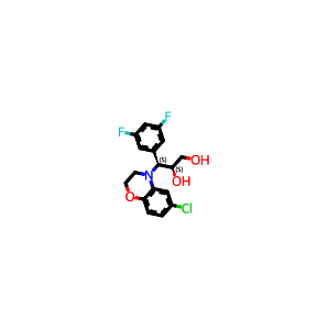 OC[C@@H](O)[C@H](c1cc(F)cc(F)c1)N1CCOc2ccc(Cl)cc21